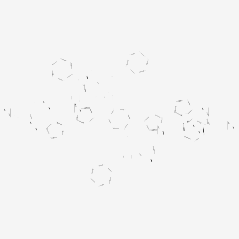 N#CC(C#N)=Nc1ccc(-c2nc3c(s2)-c2cc4c(cc2OC3(C(=O)OCc2ccccc2)C(=O)OCc2ccccc2)-c2sc(-c3ccc(N=C(C#N)C#N)s3)nc2C(C(=O)OCc2ccccc2)(C(=O)OCc2ccccc2)O4)s1